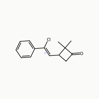 CC1(C)C(=O)CC1/C=C(\Cl)c1ccccc1